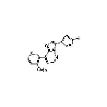 COc1ccncc1-c1ccnn2c(-c3ccc(I)cc3)cnc12